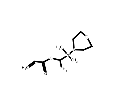 C=CC(=O)OC(C)[N+](C)(C)N1CCOCC1